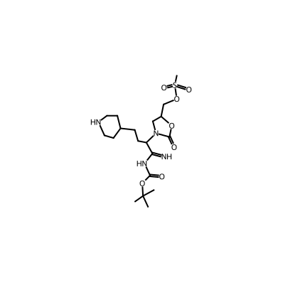 CC(C)(C)OC(=O)NC(=N)C(CCC1CCNCC1)N1CC(COS(C)(=O)=O)OC1=O